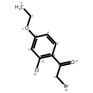 CCOc1ccc(C(=O)CBr)c(Cl)c1